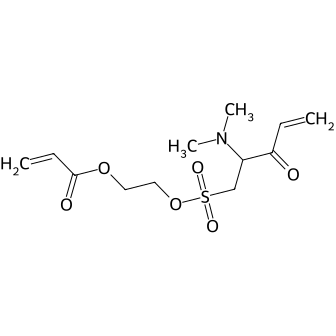 C=CC(=O)OCCOS(=O)(=O)CC(C(=O)C=C)N(C)C